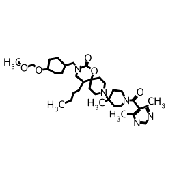 CCCCC1CN(CC2CCC(OCOC)CC2)C(=O)OC12CCN(C1(C)CCN(C(=O)c3c(C)ncnc3C)CC1)CC2